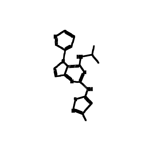 Cc1cc(Nc2nc(NC(C)C)c3c(ccn3-c3cccnc3)n2)sn1